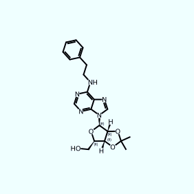 CC1(C)O[C@@H]2[C@H](O1)[C@@H](CO)O[C@H]2n1cnc2c(NCCc3ccccc3)ncnc21